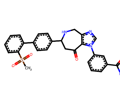 CS(=O)(=O)c1ccccc1-c1ccc(C2CC(=O)c3c(ncn3-c3cccc(C(N)=O)c3)CN2)cc1